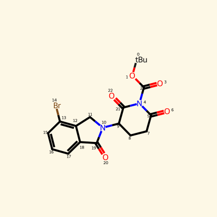 CC(C)(C)OC(=O)N1C(=O)CCC(N2Cc3c(Br)cccc3C2=O)C1=O